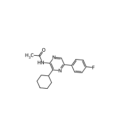 CC(=O)Nc1ncc(-c2ccc(F)cc2)nc1C1CCCCC1